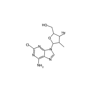 CC1C([18F])C(CO)OC1n1cnc2c(N)nc(Cl)nc21